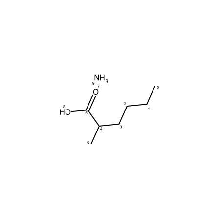 CCCCC(C)C(=O)O.N